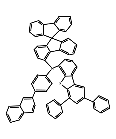 c1ccc(-c2cc(-c3ccccc3)c3sc4c(N(c5ccc(-c6ccc7ccccc7c6)cc5)c5cccc6c5-c5ccccc5C65c6ccccc6-c6ccccc65)cccc4c3c2)cc1